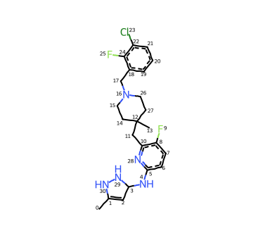 CC1=CC(Nc2ccc(F)c(CC3(C)CCN(Cc4cccc(Cl)c4F)CC3)n2)NN1